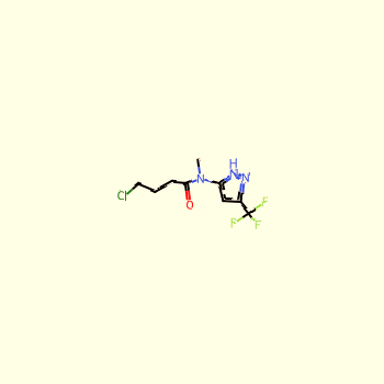 CN(C(=O)CCCCl)c1cc(C(F)(F)F)n[nH]1